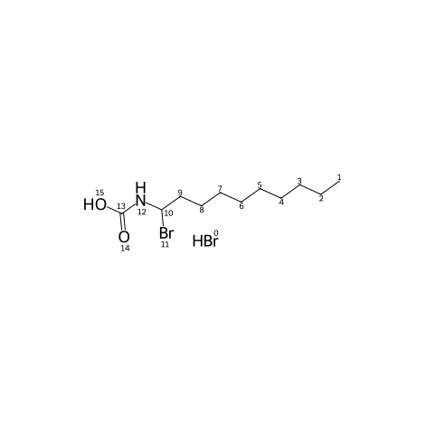 Br.CCCCCCCCCC(Br)NC(=O)O